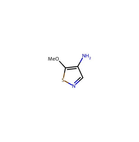 COc1sncc1N